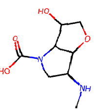 CNC1CN(C(=O)O)C2C(O)COC12